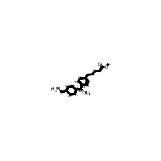 COC(=O)CCCCc1ccc(C(O)C2CCC(CN)CC2)cc1